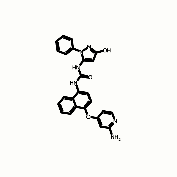 Nc1cc(Oc2ccc(NC(=O)Nc3cc(O)nn3-c3ccccc3)c3ccccc23)ccn1